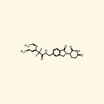 C=C/C=C(\N=C/C)C(F)(F)C(=O)NCc1ccc2c(c1)CN(C1CCC(=O)NC1=O)C2=O